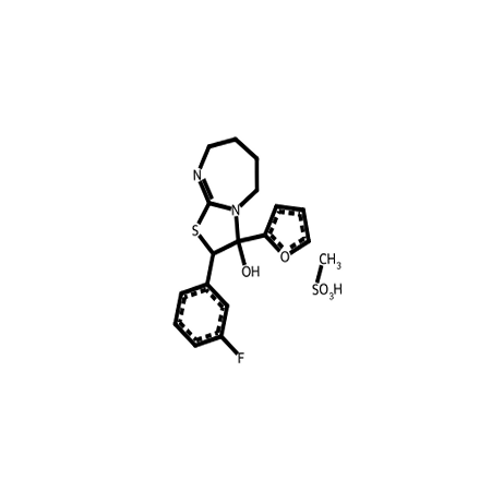 CS(=O)(=O)O.OC1(c2ccco2)C(c2cccc(F)c2)SC2=NCCCCN21